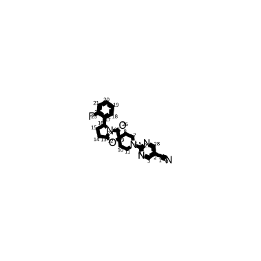 N#Cc1cnc(N2CCC3(CC2)OC2CCC(c4ccccc4F)N2C3=O)nc1